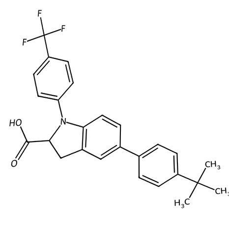 CC(C)(C)c1ccc(-c2ccc3c(c2)CC(C(=O)O)N3c2ccc(C(F)(F)F)cc2)cc1